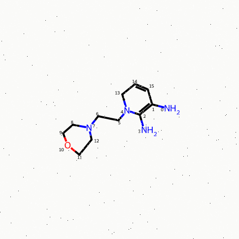 NC1=C(N)N(CCN2CCOCC2)CC=C1